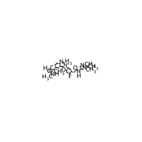 CNC(=O)C(C)(C)c1ccc2nccc(Oc3cc(F)c(CC(=O)Nc4cnn(C(C)(C)C)c4)cc3C)c2c1